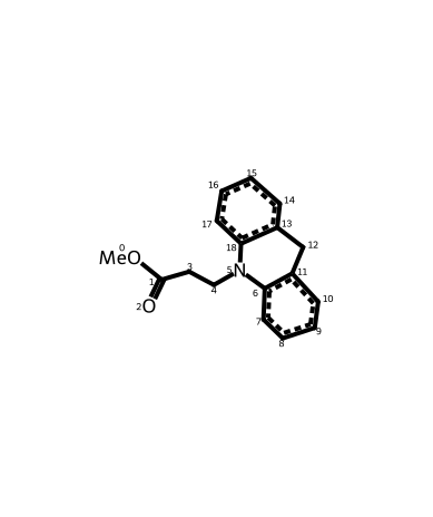 COC(=O)CCN1c2ccccc2Cc2ccccc21